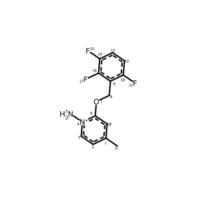 Cc1cc[n+](N)c(OCc2c(F)ccc(F)c2F)c1